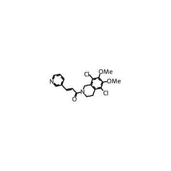 COc1c(Cl)c2c(c(Cl)c1OC)CN(C(=O)C=Cc1cccnc1)CC2